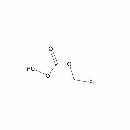 CC(C)COC(=O)OO